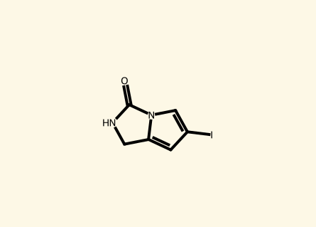 O=C1NCc2cc(I)cn21